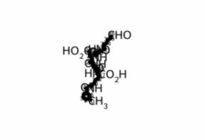 Cc1cccc(C(=O)NCCCCC(NC(=O)CNC(=O)C(CCC(=O)O)NC(=O)CNC(=O)CCCCC=O)C(=O)O)c1